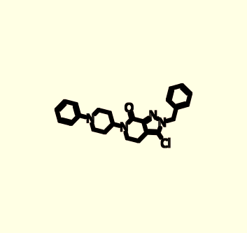 O=C1c2nn(Cc3ccccc3)c(Cl)c2CCN1C1CCN(c2ccccc2)CC1